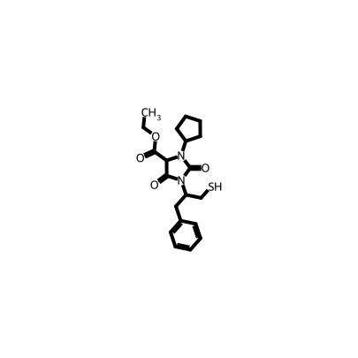 CCOC(=O)C1C(=O)N(C(CS)Cc2ccccc2)C(=O)N1C1CCCC1